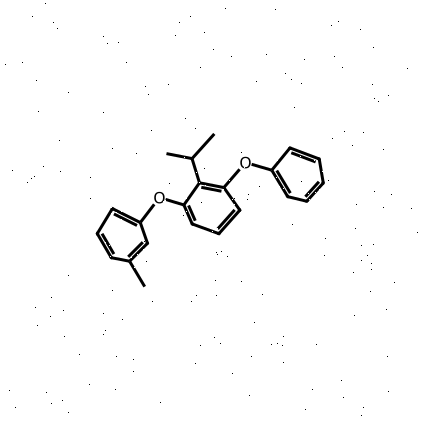 Cc1cccc(Oc2cccc(Oc3ccccc3)c2C(C)C)c1